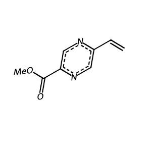 C=Cc1cnc(C(=O)OC)cn1